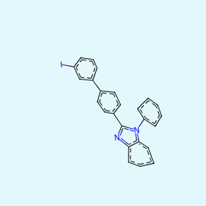 Ic1cccc(-c2ccc(-c3nc4ccccc4n3-c3ccccc3)cc2)c1